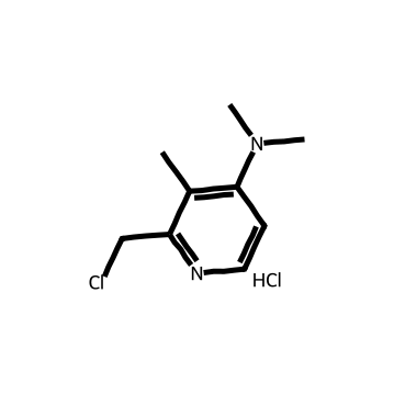 Cc1c(N(C)C)ccnc1CCl.Cl